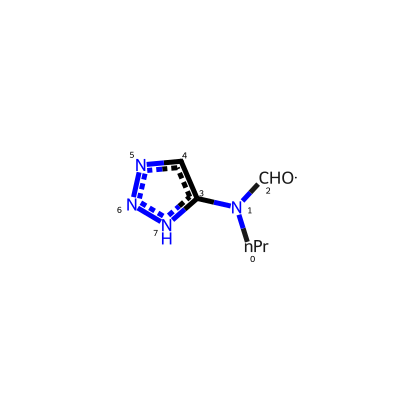 CCCN([C]=O)c1cnn[nH]1